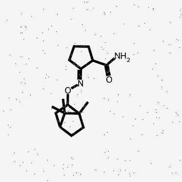 CC1(C)C2CCC1(C)C(ON=C1CCCC1C(N)=O)C2